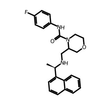 C[C@@H](NCC1COCCN1C(=O)Nc1ccc(F)cc1)c1cccc2ccccc12